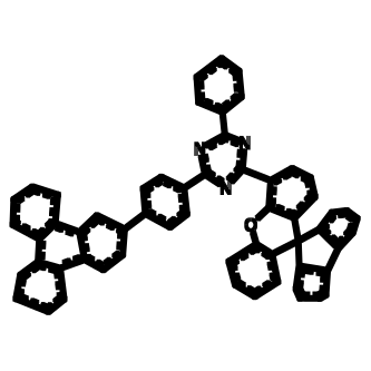 c1ccc(-c2nc(-c3ccc(-c4ccc5c6ccccc6c6ccccc6c5c4)cc3)nc(-c3cccc4c3Oc3ccccc3C43c4ccccc4-c4ccccc43)n2)cc1